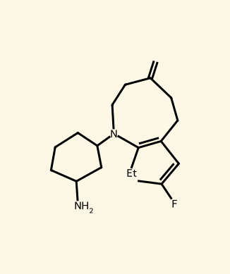 C=C1CCC(/C=C(\C)F)=C(/CC)N(C2CCCC(N)C2)CC1